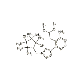 BC1(B)C(Cn2cc(-c3ncnc(N)c3CC(OCC)OCC)cn2)C(B)(O)C(B)(B)C1(B)O